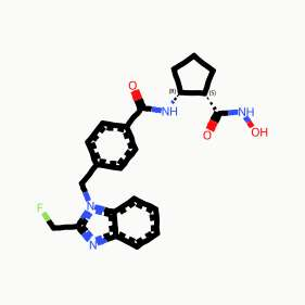 O=C(N[C@@H]1CCC[C@@H]1C(=O)NO)c1ccc(Cn2c(CF)nc3ccccc32)cc1